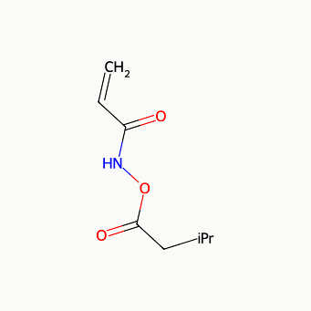 C=CC(=O)NOC(=O)CC(C)C